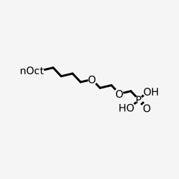 CCCCCCCCCCCCOCCOCP(=O)(O)O